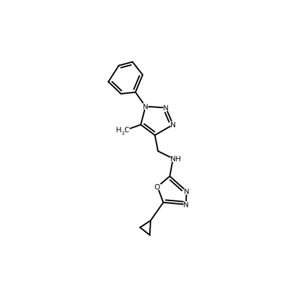 Cc1c(CNc2nnc(C3CC3)o2)nnn1-c1ccccc1